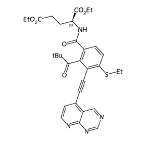 CCOC(=O)CC[C@H](NC(=O)c1ccc(SCC)c(C#Cc2ccnc3ncncc23)c1C(=O)C(C)(C)C)C(=O)OCC